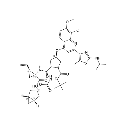 C=C[C@@H]1C[C@]1(NC(=O)C1C[C@@H](Oc2cc(-c3nc(NC(C)C)sc3C)nc3c(Cl)c(OC)ccc23)CN1C(=O)[C@@H](NC(=O)O[C@@H]1C[C@@H]2C[C@@H]2C1)C(C)(C)C)C(=O)O